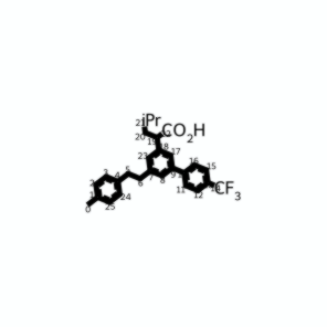 Cc1ccc(CCc2cc(-c3ccc(C(F)(F)F)cc3)cc(C(CC(C)C)C(=O)O)c2)cc1